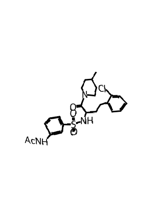 CC(=O)Nc1cccc(S(=O)(=O)NC(CCc2ccccc2Cl)C(=O)N2CCC(C)CC2)c1